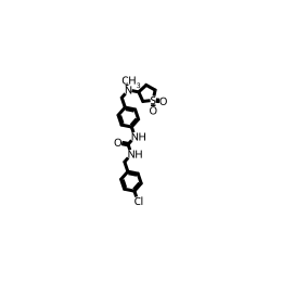 CN(Cc1ccc(NC(=O)NCc2ccc(Cl)cc2)cc1)C1CCS(=O)(=O)C1